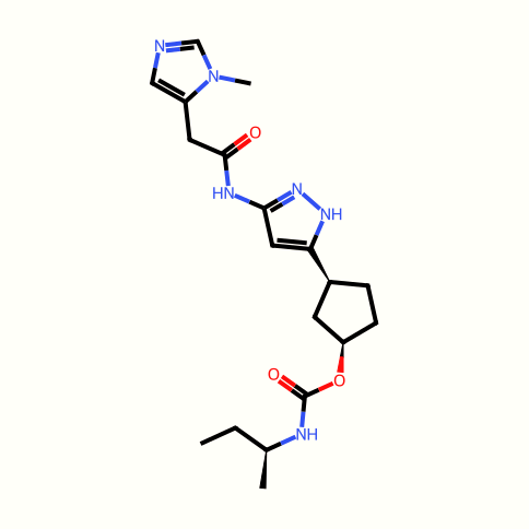 CC[C@H](C)NC(=O)O[C@@H]1CC[C@H](c2cc(NC(=O)Cc3cncn3C)n[nH]2)C1